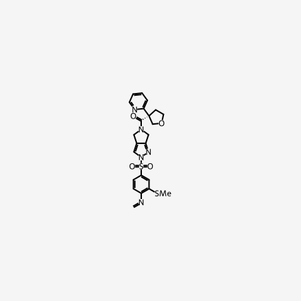 C=Nc1ccc(S(=O)(=O)n2cc3c(n2)CN(C(=O)[C@]2(c4ccccn4)CCOC2)C3)cc1SC